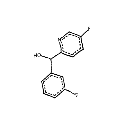 O[C](c1cccc(F)c1)c1ccc(F)cn1